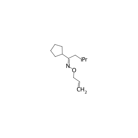 C=CCO/N=C(\CC(C)C)C1CCCC1